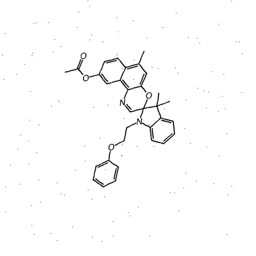 CC(=O)Oc1ccc2c(C)cc3c(c2c1)N=CC1(O3)N(CCOc2ccccc2)c2ccccc2C1(C)C